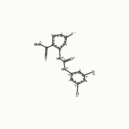 CNC(=O)c1ccc(F)cc1NC(=O)Nc1cc(Cl)cc(Cl)c1